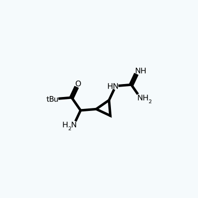 CC(C)(C)C(=O)C(N)C1CC1NC(=N)N